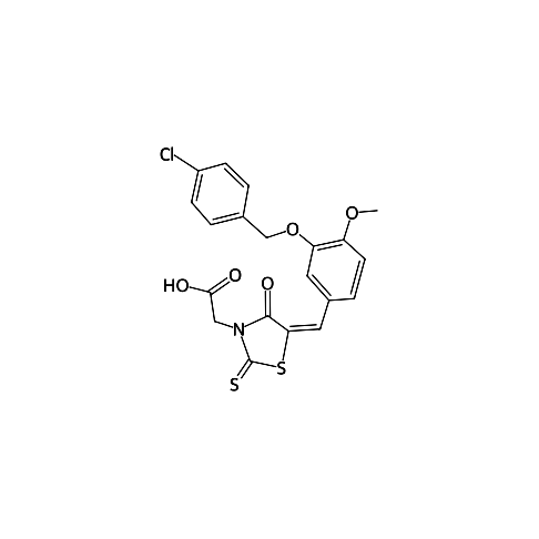 COc1ccc(C=C2SC(=S)N(CC(=O)O)C2=O)cc1OCc1ccc(Cl)cc1